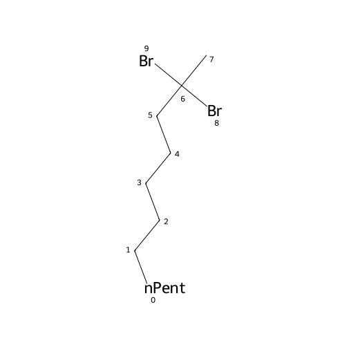 CCCCCCCCCCC(C)(Br)Br